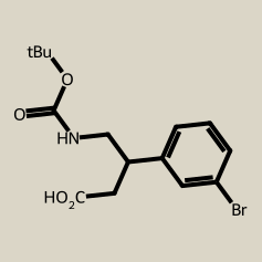 CC(C)(C)OC(=O)NCC(CC(=O)O)c1cccc(Br)c1